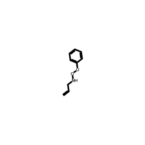 C=CCNOOc1ccccc1